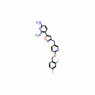 Nc1ccc(-c2cc(Cc3ccc(OCc4ccc(F)cc4F)nc3)no2)c(N)n1